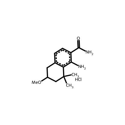 COC1Cc2ccc(C(N)=O)c(N)c2C(C)(C)C1.Cl